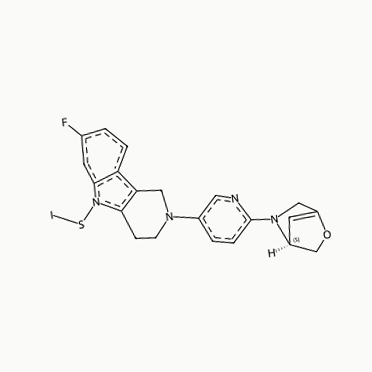 Fc1ccc2c3c(n(SI)c2c1)CCN(c1ccc(N2CC4=C[C@H]2CO4)nc1)C3